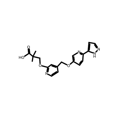 CC(C)(COc1cc(COc2ccc(-c3ccn[nH]3)nc2)ccn1)C(=O)O